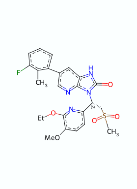 CCOc1nc([C@@H](CS(C)(=O)=O)n2c(=O)[nH]c3cc(-c4cccc(F)c4C)cnc32)ccc1OC